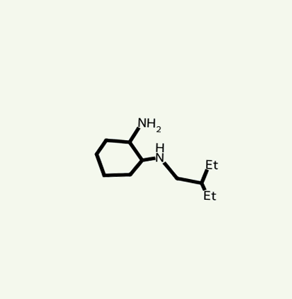 CCC(CC)CNC1CCCCC1N